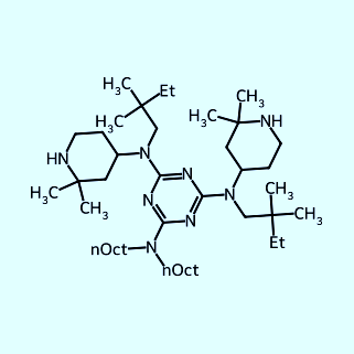 CCCCCCCCN(CCCCCCCC)c1nc(N(CC(C)(C)CC)C2CCNC(C)(C)C2)nc(N(CC(C)(C)CC)C2CCNC(C)(C)C2)n1